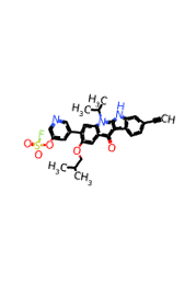 C#Cc1ccc2c(c1)[nH]c1c2c(=O)c2cc(OCC(C)C)c(-c3cncc(OS(=O)(=O)F)c3)cc2n1C(C)C